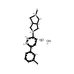 Cc1cccc(-c2ccc(N3CC4CN(C)CC4C3)nn2)c1.Cl.Cl